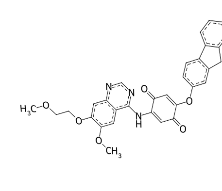 COCCOc1cc2ncnc(NC3=CC(=O)C(Oc4ccc5c(c4)Cc4ccccc4-5)=CC3=O)c2cc1OC